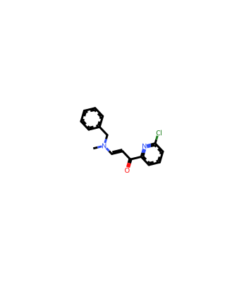 CN(C=CC(=O)c1cccc(Cl)n1)Cc1ccccc1